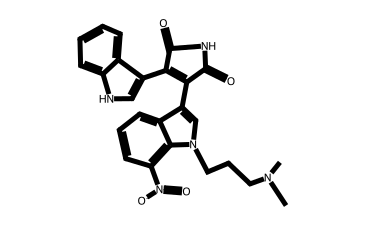 CN(C)CCCn1cc(C2=C(c3c[nH]c4ccccc34)C(=O)NC2=O)c2cccc([N+](=O)[O-])c21